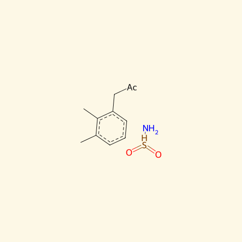 CC(=O)Cc1cccc(C)c1C.N[SH](=O)=O